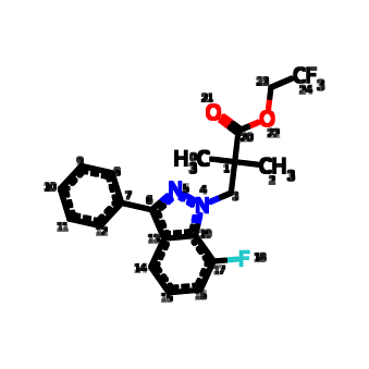 CC(C)(Cn1nc(-c2ccccc2)c2cccc(F)c21)C(=O)OCC(F)(F)F